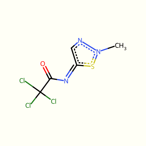 Cn1ncc(=NC(=O)C(Cl)(Cl)Cl)s1